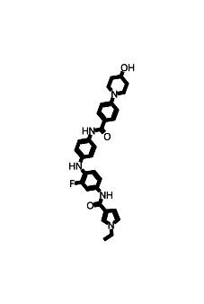 CCn1ccc(C(=O)Nc2ccc(Nc3ccc(NC(=O)c4ccc(N5CCC(O)CC5)cc4)cc3)c(F)c2)c1